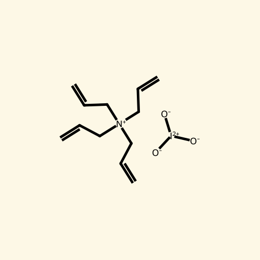 C=CC[N+](CC=C)(CC=C)CC=C.[O-][I+2]([O-])[O-]